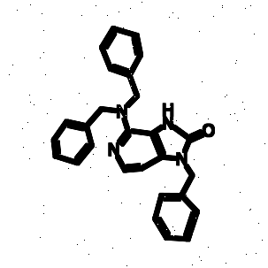 O=c1[nH]c2c(N(Cc3ccccc3)Cc3ccccc3)nccc2n1Cc1ccccc1